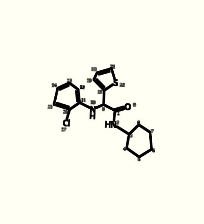 O=C(NC1CCCCC1)C(Nc1ccccc1Cl)c1cccs1